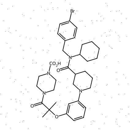 CC(C)(Oc1cccc(N2CCCC(C(=O)N(Cc3ccc(Br)cc3)C3CCCCC3)C2)c1)C(=O)N1CCN(C(=O)O)CC1